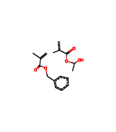 C=C(C)C(=O)OC(C)O.C=C(C)C(=O)OCc1ccccc1